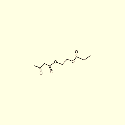 CCC(=O)OCCOC(=O)CC(C)=O